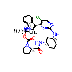 CC(C)(C)OC(=O)N1CCC[C@@H]1C(=O)N[C@H]1CCC[C@@H](Nc2ncc(Cl)c(-c3c[nH]c4ccccc34)n2)C1